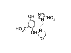 O=C(O)c1cc(O)ccc1O.O=[N+]([O-])c1cncn1CCN1CCOCC1